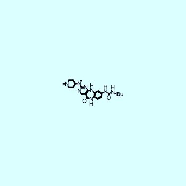 CCC(C)NC(=O)Nc1ccc2c(c1)Nc1nc(N(C)C3CCN(C)CC3)ncc1C(=O)N2